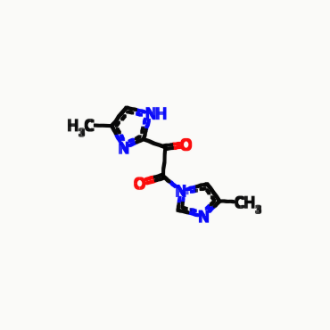 Cc1cn(C(=O)C(=O)c2nc(C)c[nH]2)cn1